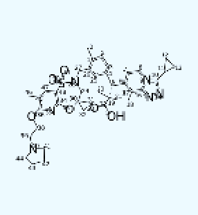 Cc1ccc([C@H](c2ccn3c(C4CC4)nnc3c2C)C(C)(C)C(=O)O)cc1CN1CC2(CC2)Oc2nc(OCCN3CCCC3)c(C)cc2S1(=O)=O